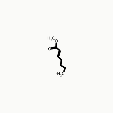 [CH2]CCC/C=C/C(=O)OC